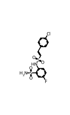 NS(=O)(=O)c1cc(F)ccc1NS(=O)(=O)C=Cc1ccc(Cl)cc1